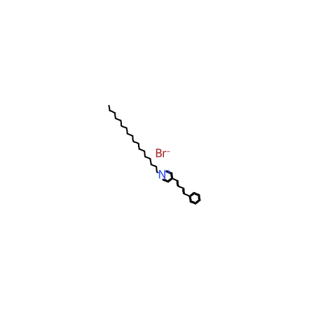 CCCCCCCCCCCCCCCCCC[n+]1ccc(C=CC=Cc2ccccc2)cc1.[Br-]